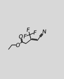 CCOC(=O)CC(=CC#N)C(F)(F)F